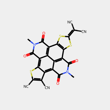 Cn1c(=O)c2c3sc(=C(C#N)C#N)sc3c3c(=O)n(C)c(=O)c4c5c(C#N)c(C#N)sc5c(c1=O)c2c34